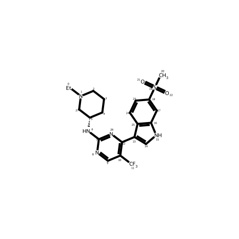 CCN1CCC[C@H](Nc2ncc(C(F)(F)F)c(-c3c[nH]c4cc(S(C)(=O)=O)ccc34)n2)C1